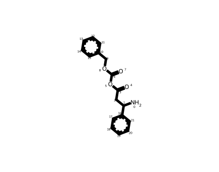 NC(CC(=O)OC(=O)OCc1ccccc1)c1ccccc1